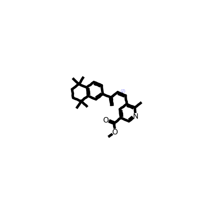 C=C(/C=C\c1cc(C(=O)OC)cnc1C)c1ccc2c(c1)C(C)(C)CCC2(C)C